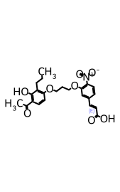 CCCc1c(OCCCOc2cc(/C=C/C(=O)O)ccc2[N+](=O)[O-])ccc(C(C)=O)c1O